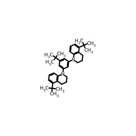 CC(C)(C)c1cc(N2CCCc3c2cccc3C(C)(C)C)cc(N2CCCc3c2cccc3C(C)(C)C)c1